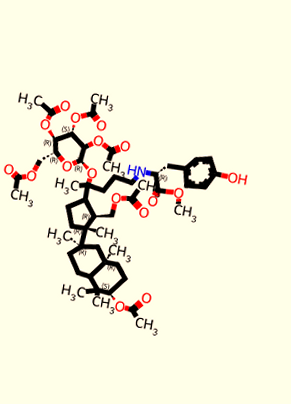 COC(=O)[C@@H](Cc1ccc(O)cc1)NCCCC(C)(O[C@H]1O[C@H](COC(C)=O)[C@@H](OC(C)=O)[C@H](OC(C)=O)C1OC(C)=O)C1CC[C@@](C)([C@]2(C)CCC3C(C)(C)[C@@H](OC(C)=O)CC[C@]3(C)C2)[C@@H]1COC(C)=O